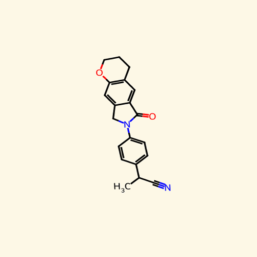 CC(C#N)c1ccc(N2Cc3cc4c(cc3C2=O)CCCO4)cc1